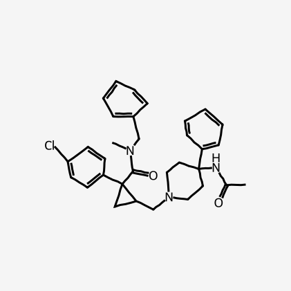 CC(=O)NC1(c2ccccc2)CCN(CC2CC2(C(=O)N(C)Cc2ccccc2)c2ccc(Cl)cc2)CC1